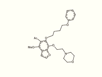 COc1c(C(C)=O)c(OCCCCOc2ccccc2)c(OCCN2CCOCC2)c2occc12